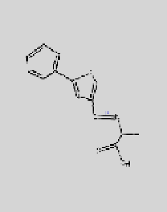 CC(/N=C/c1csc(-c2ccccc2)n1)C(=O)O